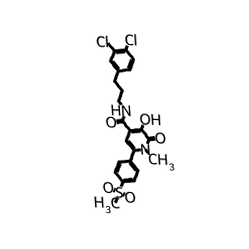 Cn1c(-c2ccc(S(C)(=O)=O)cc2)cc(C(=O)NCCCc2ccc(Cl)c(Cl)c2)c(O)c1=O